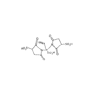 CCCCCCC(C(=O)O)(N1C(=O)CC(S(=O)(=O)O)C1=O)N1C(=O)CC(S(=O)(=O)O)C1=O